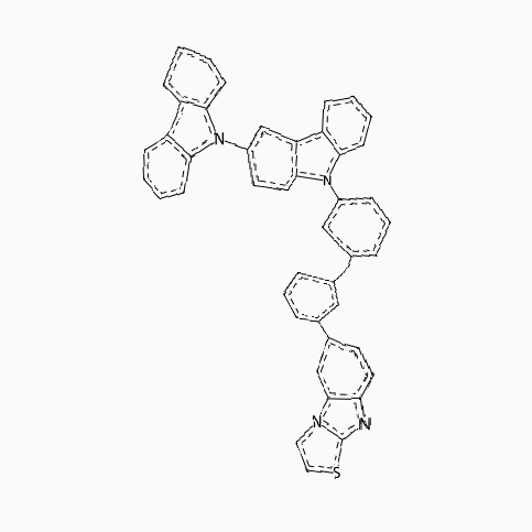 c1cc(-c2cccc(-n3c4ccccc4c4cc(-n5c6ccccc6c6ccccc65)ccc43)c2)cc(-c2ccc3nc4sccn4c3c2)c1